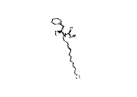 CCCCCCCCCCCCN(C(N)=O)C(=O)CN1CCCCC1